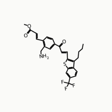 CCCCc1c(C=CC(=O)c2ccc(C=CC(=O)OC)c(CN)c2)sc2cc(C(F)(F)F)ccc12